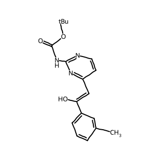 Cc1cccc(C(O)=Cc2ccnc(NC(=O)OC(C)(C)C)n2)c1